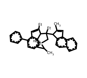 CCC[CH2][Zr]1([CH2]C(CC)(C2C(CC)=Cc3c(-c4ccccc4)cccc32)C2C(C)=Cc3c2ccc2ccccc32)[CH2][CH]1C